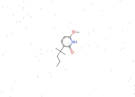 CCCC(C)(C)c1ccc(OC)[nH]c1=O